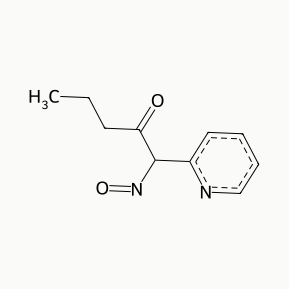 CCCC(=O)C(N=O)c1ccccn1